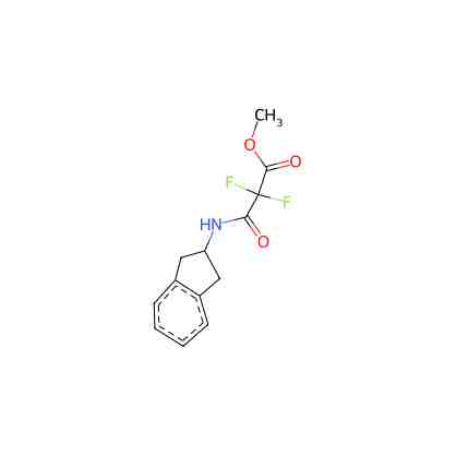 COC(=O)C(F)(F)C(=O)NC1Cc2ccccc2C1